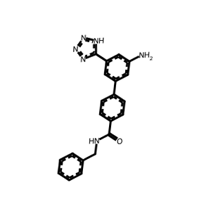 Nc1cc(-c2ccc(C(=O)NCc3ccccc3)cc2)cc(-c2nnn[nH]2)c1